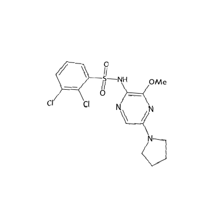 COc1nc(N2CCCC2)cnc1NS(=O)(=O)c1cccc(Cl)c1Cl